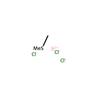 CSC.[B+3].[Cl-].[Cl-].[Cl-]